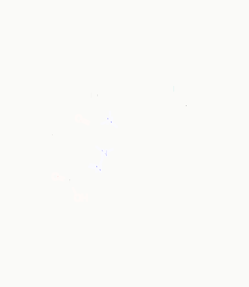 CCn1c(-c2ccc(C(F)(F)F)c(C)c2)cn2nc(C(=O)O)c(C3CC3)c2c1=O